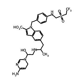 CC(Cc1ccc2c(c1)cc(C(=O)O)n2Cc1ccc(NCS(=O)(=O)CC(F)(F)F)cc1)NCC(O)N1C=NC(N)=CC1